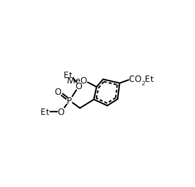 CCOC(=O)c1ccc(CP(=O)(OCC)OCC)c(OC)c1